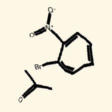 CC(C)=O.O=[N+]([O-])c1ccccc1Br